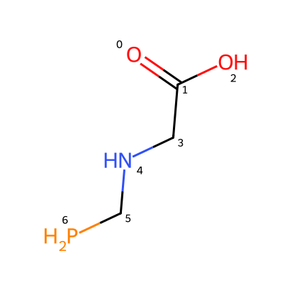 O=C(O)CNCP